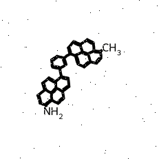 Cc1ccc2ccc3c(-c4cccc(-c5ccc6ccc7c(N)ccc8ccc5c6c87)c4)ccc4ccc1c2c43